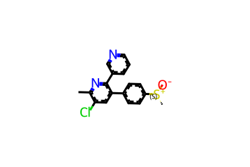 Cc1nc(-c2cccnc2)c(-c2ccc([S@@+](C)[O-])cc2)cc1Cl